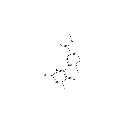 COC(=O)c1ccc(C)c(-n2nc(Cl)cc(C)c2=O)c1